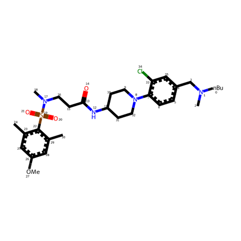 CCCCN(C)Cc1ccc(N2CCC(NC(=O)CCN(C)S(=O)(=O)c3c(C)cc(OC)cc3C)CC2)c(Cl)c1